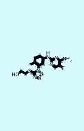 Cc1ccc(Nc2ncc(F)c(N)n2)cc1-n1nnnc1SCCO